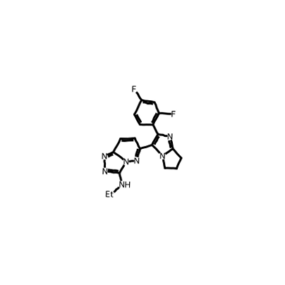 CCNc1nnc2ccc(-c3c(-c4ccc(F)cc4F)nc4n3CCC4)nn12